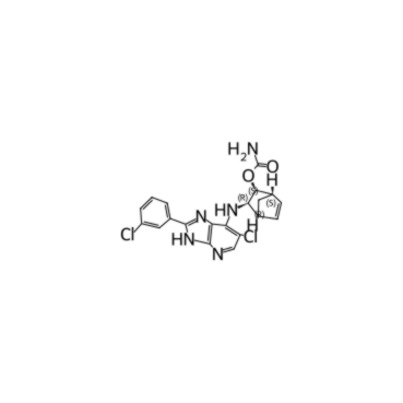 NC(=O)O[C@@H]1[C@H](Nc2c(Cl)cnc3[nH]c(-c4cccc(Cl)c4)nc23)[C@H]2C=C[C@@H]1C2